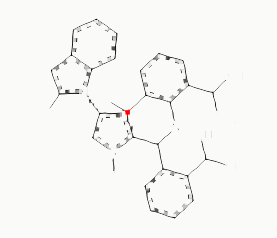 Cc1cc2ccccc2n1-c1cn(C)c(C(Nc2c(C(C)C)cccc2C(C)C)c2ccccc2C(C)C)n1